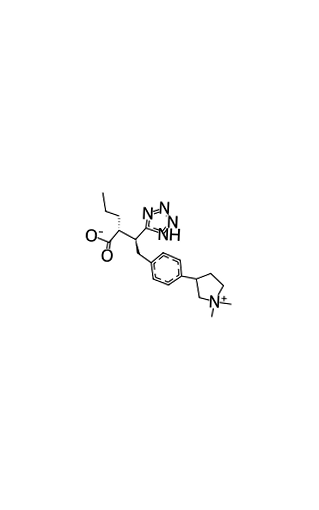 CCC[C@@H](C(=O)[O-])[C@H](Cc1ccc(C2CC[N+](C)(C)C2)cc1)c1nnn[nH]1